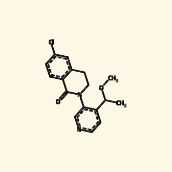 COC(C)c1ccncc1N1CCc2cc(Cl)ccc2C1=O